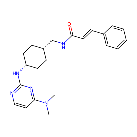 CN(C)c1ccnc(N[C@H]2CC[C@@H](CNC(=O)C=Cc3ccccc3)CC2)n1